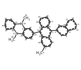 Cc1ccc2c(-c3ccc4ccccc4c3)c3ccccc3c(-c3ccc4c(c3)N(C)c3ccccc3N4C)c2c1